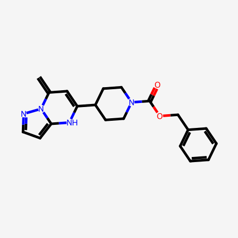 C=C1C=C(C2CCN(C(=O)OCc3ccccc3)CC2)Nc2ccnn21